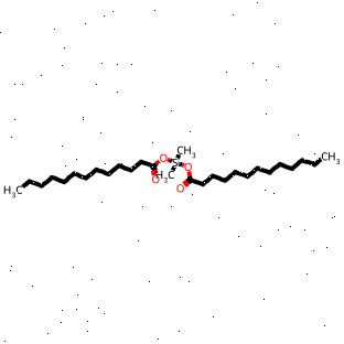 CCCCCCCCCCCCC(=O)O[Si](C)(C)OC(=O)CCCCCCCCCCCC